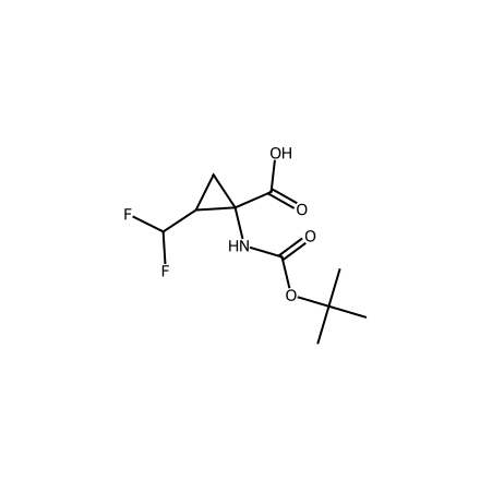 CC(C)(C)OC(=O)NC1(C(=O)O)CC1C(F)F